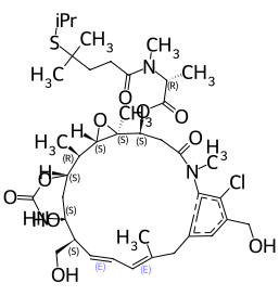 C/C1=C\C=C\[C@@H](CO)[C@@]2(O)C[C@H](OC(=O)N2)[C@@H](C)[C@@H]2O[C@@]2(C)[C@@H](OC(=O)[C@@H](C)N(C)C(=O)CCC(C)(C)SC(C)C)CC(=O)N(C)c2cc(cc(CO)c2Cl)C1